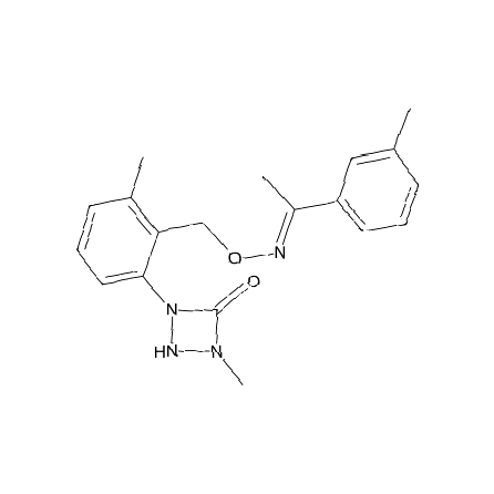 C/C(=N\OCc1c(C)cccc1-n1[nH]n(C)c1=O)c1cccc(C)c1